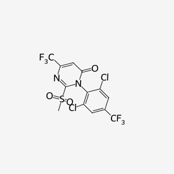 CS(=O)(=O)c1nc(C(F)(F)F)cc(=O)n1-c1c(Cl)cc(C(F)(F)F)cc1Cl